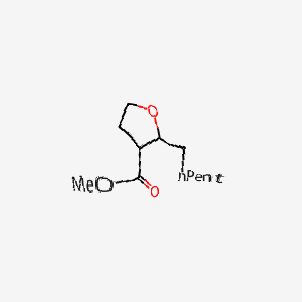 CCCCCCC1OCCC1C(=O)OC